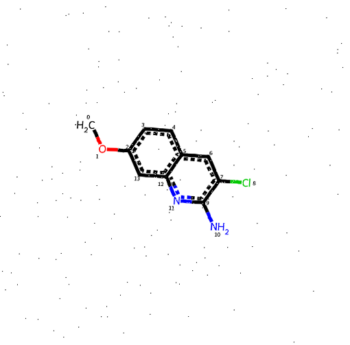 [CH2]Oc1ccc2cc(Cl)c(N)nc2c1